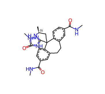 CNC(=O)c1ccc2c(c1)CCc1cc(C(=O)NC)ccc1C2(C[C@H](C)N)c1nn(C)c(=O)[nH]1